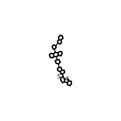 c1cc(-c2ccc3ccccc3c2)cc(-c2c3ccccc3c(-c3ccc(-c4ccc5c(ccc6c5sc5ccc7c8ccccc8sc7c56)c4)cc3)c3ccccc23)c1